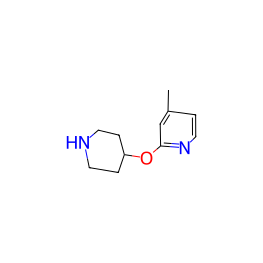 Cc1ccnc(OC2CCNCC2)c1